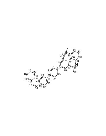 Cc1nc2cc(-c3ccc(-c4ccc5ccc6ccccc6c5c4)cc3)cc3c(C)nc4cccc1c4c23